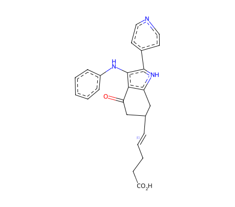 O=C(O)CC/C=C/C1CC(=O)c2c([nH]c(-c3ccncc3)c2Nc2ccccc2)C1